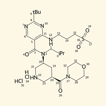 CC(C)CN(C(=O)c1cnc(C(C)(C)C)nc1NCCCS(C)(=O)=O)[C@@H]1CNC[C@H](C(=O)N2CCOCC2)C1.Cl.Cl